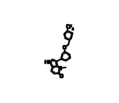 Cn1c(=O)ccc2[nH]cc(-c3cccc(OCc4ccc(C(F)(F)F)cc4)c3)c21